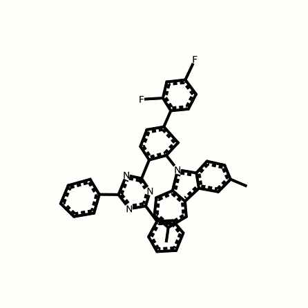 Cc1ccc2c(c1)c1cc(C)ccc1n2-c1cc(-c2ccc(F)cc2F)ccc1-c1nc(-c2ccccc2)nc(-c2ccccc2)n1